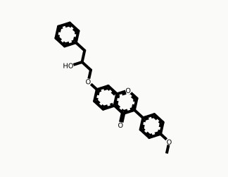 COc1ccc(-c2coc3cc(OCC(O)Cc4ccccc4)ccc3c2=O)cc1